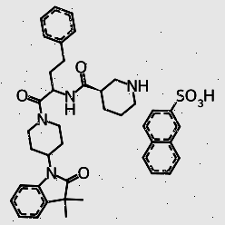 CC1(C)C(=O)N(C2CCN(C(=O)C(CCc3ccccc3)NC(=O)[C@@H]3CCCNC3)CC2)c2ccccc21.O=S(=O)(O)c1ccc2ccccc2c1